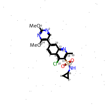 COc1ncc(-c2ccc3c(Cl)c(S(=O)(=O)NC4CC4)c(C)nc3c2)c(OC)n1